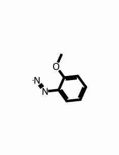 COc1ccccc1N=[N]